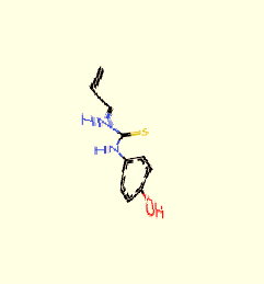 C=CCNC(=S)Nc1ccc(O)cc1